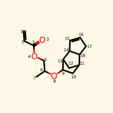 C=CC(=O)OCC(C)OC1CC2CC1C1C=CCC21